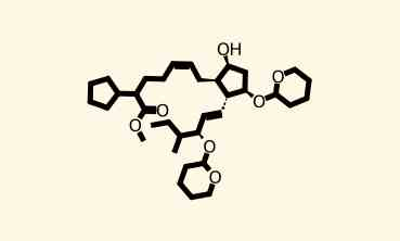 CCC(C)[C@H](/C=C/[C@@H]1[C@@H](C/C=C\CCC(C(=O)OC)C2CCCC2)[C@@H](O)C[C@H]1OC1CCCCO1)OC1CCCCO1